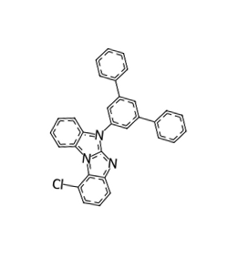 Clc1cccc2nc3n(-c4cc(-c5ccccc5)cc(-c5ccccc5)c4)c4ccccc4n3c12